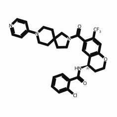 O=C(N[C@@H]1CCOc2cc(C(F)(F)F)c(C(=O)N3CCC4(CCN(c5ccncc5)CC4)C3)cc21)c1ccccc1Cl